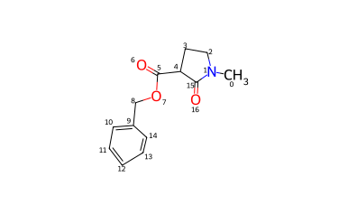 CN1CCC(C(=O)OCc2ccccc2)C1=O